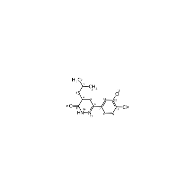 CC(C)SC1CC(c2ccc(Cl)c(Cl)c2)=NNC1=O